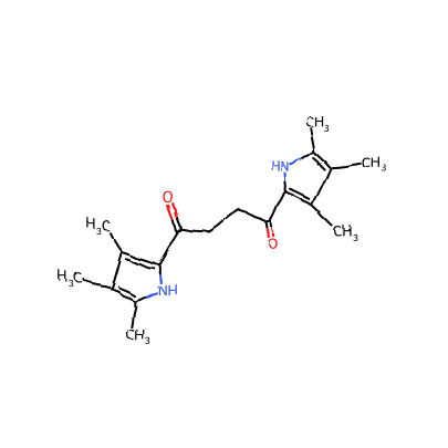 Cc1[nH]c(C(=O)CCC(=O)c2[nH]c(C)c(C)c2C)c(C)c1C